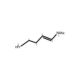 CCCCCC=CNC